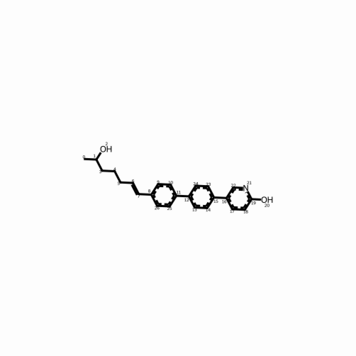 CC(O)CCCC=Cc1ccc(-c2ccc(-c3ccc(O)nc3)cc2)cc1